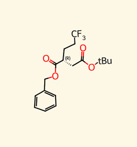 CC(C)(C)OC(=O)C[C@@H](CCC(F)(F)F)C(=O)OCc1ccccc1